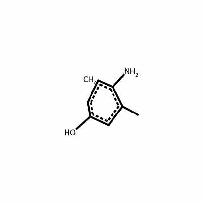 C.Cc1cc(O)ccc1N